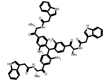 CCCC[C@H](NC(=O)Cc1c[nH]c2ccccc12)C(=O)c1ccc(C(c2ccc(C(=O)[C@H](CCCC)NC(=O)Cc3c[nH]c4ccccc34)cc2N)c2ccc(C(=O)[C@H](CCCC)NC(=O)Cc3c[nH]c4ccccc34)cc2N)c(N)c1